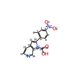 Cc1cc([N+](=O)[O-])ccc1-c1cc2ccncc2n1C(=O)O